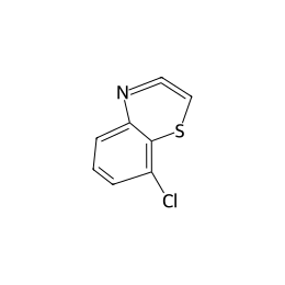 Clc1cccc2c1SC=C=N2